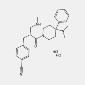 CNCC(Cc1ccc(C#N)cc1)C(=O)N1CCC(c2ccccc2)(N(C)C)CC1.Cl.Cl